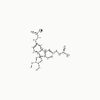 CCCCC1(CCCC)c2ccc(CCC(=O)O)cc2-c2cc(CCC(=O)O)ccc21